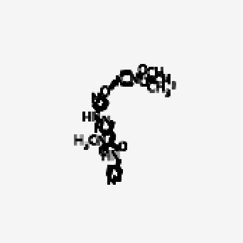 Cn1c(=O)c(C(=O)NCc2ccncc2)cc2cnc(Nc3ccc(OCCN4CCN(C(=O)OC(C)(C)C)CC4)nc3)nc21